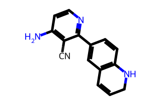 N#Cc1c(N)ccnc1-c1ccc2c(c1)C=CCN2